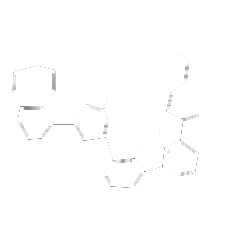 C=C(/C=C\C=C/C)C1=CC=CC2c3cccc(-c4cc(Cl)cc(-c5cccc6c5C=CCC=C6)c4)c3O[C@@H]12